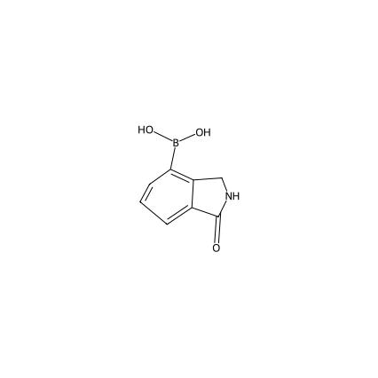 O=C1NCc2c(B(O)O)cccc21